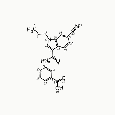 CCCn1cc(C(=O)Nc2cccc(C(=O)O)c2)c2ccc(C#N)cc21